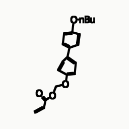 C=CC(=O)OCOc1ccc(-c2ccc(OCCCC)cc2)cc1